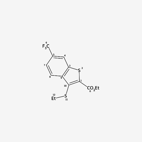 CCOC(=O)c1sc2cc(C(F)(F)F)ccc2c1SCC